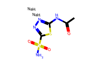 CC(=O)Nc1nnc(S(N)(=O)=O)s1.[NaH].[NaH]